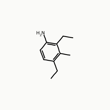 CCc1ccc(N)c(CC)c1C